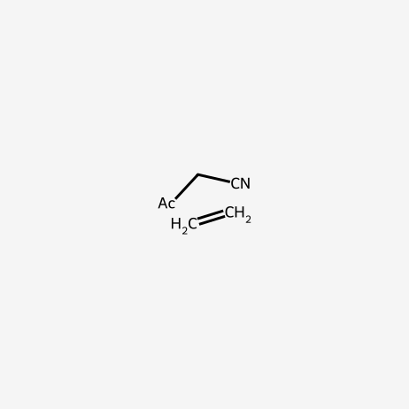 C=C.CC(=O)CC#N